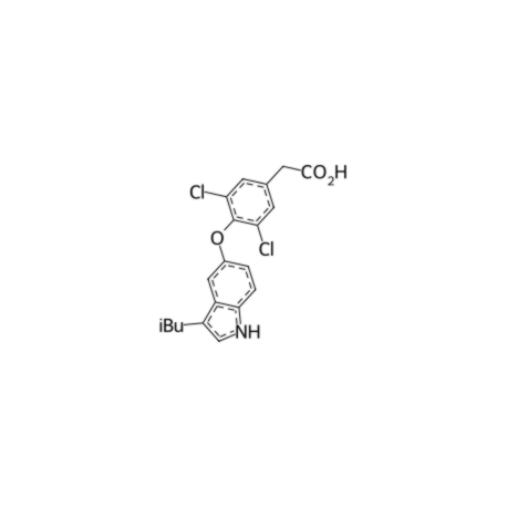 CCC(C)c1c[nH]c2ccc(Oc3c(Cl)cc(CC(=O)O)cc3Cl)cc12